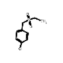 CCS(=O)(=O)Cc1ccc(Cl)cc1